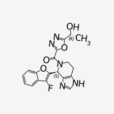 C[C@@H](O)c1nnc(C(=O)N2CCc3[nH]cnc3[C@H]2c2oc3ccccc3c2F)o1